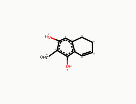 O=Cc1c(O)cc2c(c1O)C=CCC2